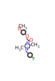 COc1ccc(OCC(=O)N2C[C@@H](C)N(Cc3ccc(F)cc3)C[C@@H]2C)cc1